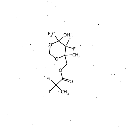 CCC(C)(I)C(=O)OCC1(C)OCOC(O)(C(F)(F)F)C1(F)F